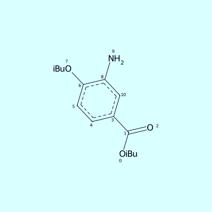 CC(C)COC(=O)c1ccc(OCC(C)C)c(N)c1